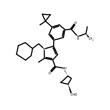 Cc1c(C(=O)N[C@H]2C[C@H](C=O)C2)cc(-c2cc(C(=O)N[C@@H](C)C(F)(F)F)cc(C3(C)CC3)c2)n1CC1CCCCC1